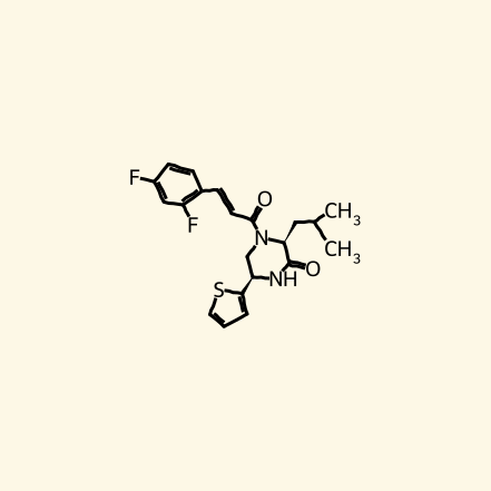 CC(C)C[C@H]1C(=O)N[C@@H](c2cccs2)CN1C(=O)C=Cc1ccc(F)cc1F